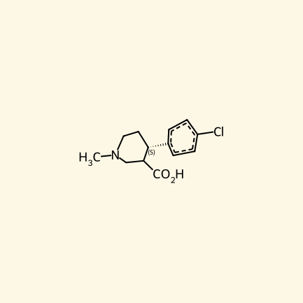 CN1CC[C@H](c2ccc(Cl)cc2)C(C(=O)O)C1